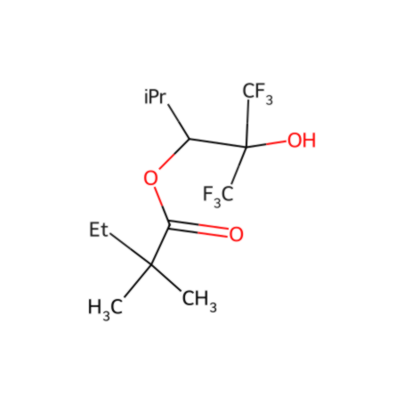 CCC(C)(C)C(=O)OC(C(C)C)C(O)(C(F)(F)F)C(F)(F)F